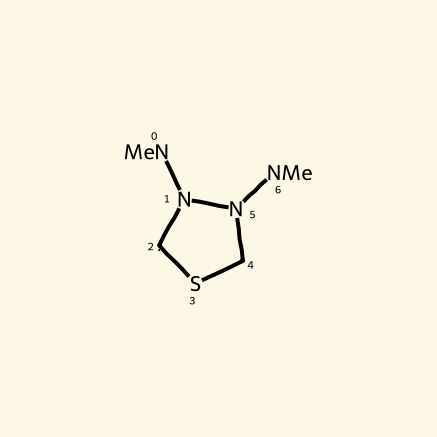 CNN1[CH]SCN1NC